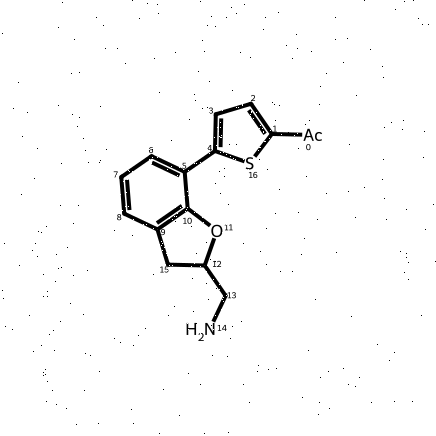 CC(=O)c1ccc(-c2cccc3c2OC(CN)C3)s1